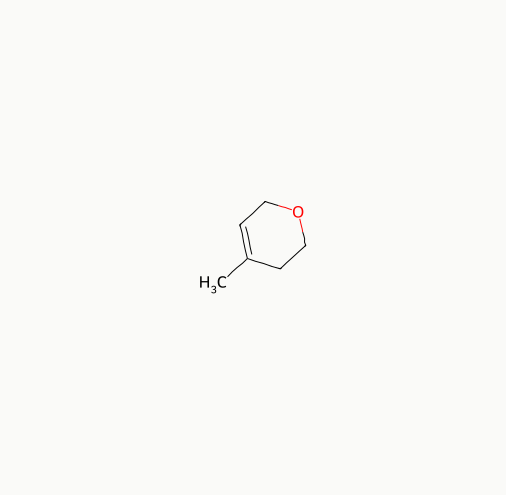 CC1=CCOCC1